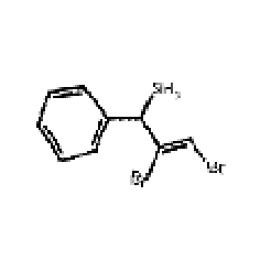 [SiH3]C(C(Br)=CBr)c1ccccc1